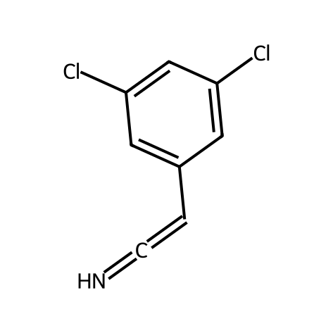 N=C=Cc1cc(Cl)cc(Cl)c1